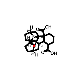 CN1[C@@H]2CC[C@H]1CC(C1C(C(=O)O)CCCC1(C(=O)O)C1C[C@H]3CC[C@@H](C1)N3C)C2